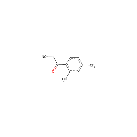 N#CCC(=O)c1ccc(C(F)(F)F)cc1[N+](=O)[O-]